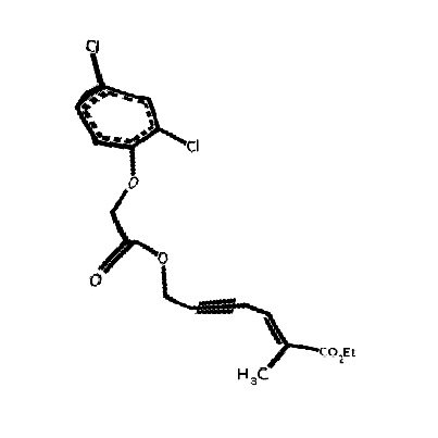 CCOC(=O)C(C)=CC#CCOC(=O)COc1ccc(Cl)cc1Cl